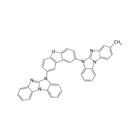 Cc1ccc2c(c1)nc1n(-c3ccc4oc5ccc(-n6c7ccccc7n7c8ccccc8nc67)cc5c4c3)c3ccccc3n21